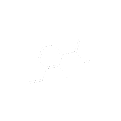 [CH]=Cc1cccc(C(=O)NC)c1Br